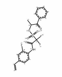 C=Cc1ccc(NC(=O)C(F)(F)S(=O)(=O)OC(C)C(=O)c2ccccc2)c(F)c1